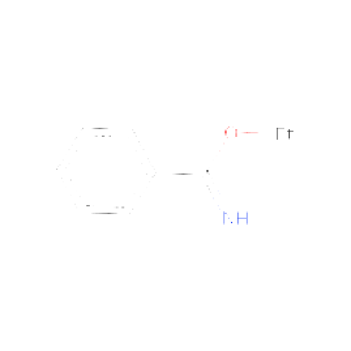 CCOC(=N)c1[c]cccc1